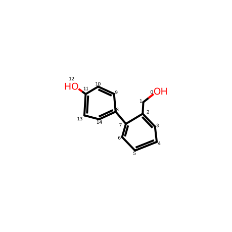 OCc1ccccc1-c1ccc(O)cc1